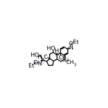 CCO/N=C(\CO)C1CCC2C3C[C@H](C)C4=C/C(=N/OCC)C=CC4(C)[C@H]3C(O)CC12C